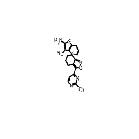 N#Cc1c(N)sc2c1[C@@]1(CCC2)CCCc2c1noc2-c1ccnc(Cl)n1